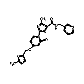 Cc1nc(-n2ccc(OCc3ccc(C(F)(F)F)o3)cc2=O)sc1C(=O)NCc1cccnc1